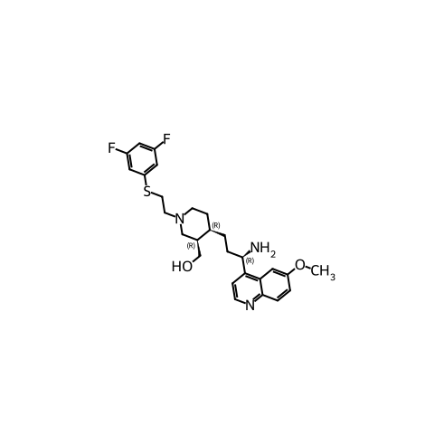 COc1ccc2nccc([C@H](N)CC[C@@H]3CCN(CCSc4cc(F)cc(F)c4)C[C@@H]3CO)c2c1